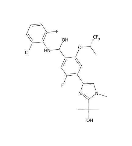 C[C@H](Oc1cc(-c2cn(C)c(C(C)(C)O)n2)c(F)cc1C(O)Nc1c(F)cccc1Cl)C(F)(F)F